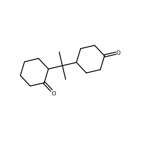 CC(C)(C1CCC(=O)CC1)C1CCCCC1=O